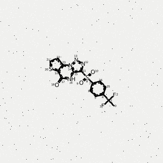 CC(F)(F)c1ccc(S(=O)(=O)c2nnn3c2[nH]c(=O)c2sccc23)cc1